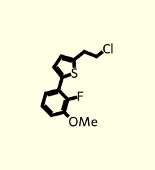 COc1cccc(-c2ccc(CCCl)s2)c1F